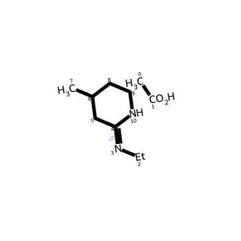 CC(=O)O.CC/N=C1/CC(C)CCN1